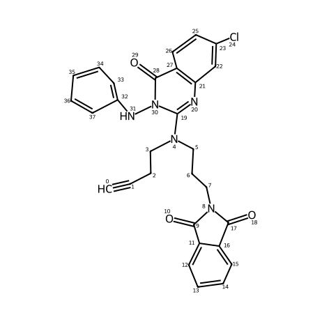 C#CCCN(CCCN1C(=O)c2ccccc2C1=O)c1nc2cc(Cl)ccc2c(=O)n1Nc1ccccc1